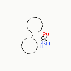 C1CCCCC(C2CCCCCCCCC2)CCCC1.N=C=O.N=C=O